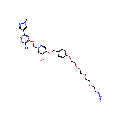 COc1cc(COc2nc(-c3cnn(C)c3)cnc2N)ncc1OCc1ccc(OCCOCCOCCOCCN=[N+]=[N-])cc1